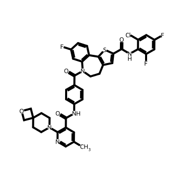 Cc1cnc(N2CCC3(CC2)COC3)c(C(=O)Nc2ccc(C(=O)N3CCc4cc(C(=O)Nc5c(F)cc(F)cc5Cl)sc4-c4ccc(F)cc43)cc2)c1